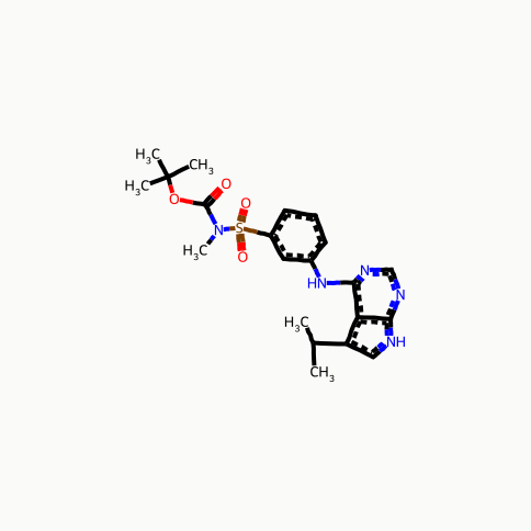 CC(C)c1c[nH]c2ncnc(Nc3cccc(S(=O)(=O)N(C)C(=O)OC(C)(C)C)c3)c12